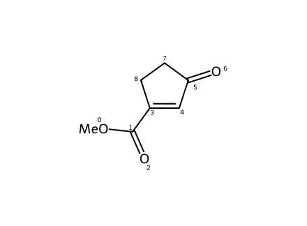 COC(=O)C1=CC(=O)CC1